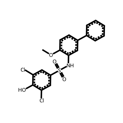 COc1ccc(-c2ccccc2)cc1NS(=O)(=O)c1cc(Cl)c(O)c(Cl)c1